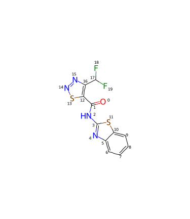 O=C(Nc1nc2ccccc2s1)c1snnc1C(F)F